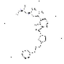 CC/C=C(F)\C=C(/C)CN(C)c1ncnc2c1ncn2C1CCC(COCc2ccccc2)O1